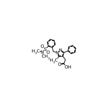 Cc1c(CC(=O)O)c(-c2ccccc2)nn1Cc1ccccc1S(=O)(=O)N(C)C